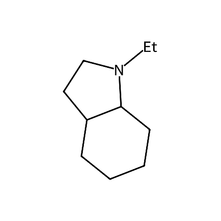 CCN1CCC2CCCCC21